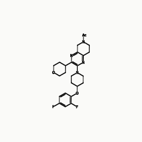 CC(=O)N1CCc2nc(N3CCC(Oc4ccc(F)cc4F)CC3)c(C3CCOCC3)nc2C1